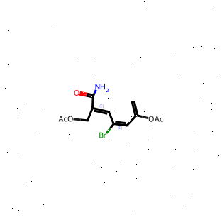 C=C(/C=C(Br)\C=C(/COC(C)=O)C(N)=O)OC(C)=O